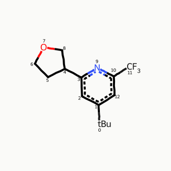 CC(C)(C)c1cc(C2CCOC2)nc(C(F)(F)F)c1